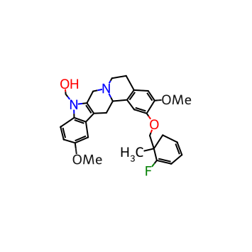 COc1ccc2c(c1)c1c(n2CO)CN2CCc3cc(OC)c(OCC4(C)CC=CC=C4F)cc3C2C1